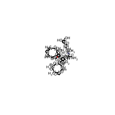 CN(C)/N=N/c1[nH]cnc1C(N)=O.Cc1c2oc3c(C)ccc(C(=O)NC4C(=O)NC(C(C)C)C(=O)N5CCCC5C(=O)N(C)CC(=O)N(C)C(C(C)C)C(=O)OC4C)c3nc-2c(C(=O)NC2C(=O)NC(C(C)C)C(=O)N3CCCC3C(=O)N(C)CC(=O)N(C)C(C(C)C)C(=O)OC2C)c(N)c1=O.Nc1ncn([C@H]2C[C@H](O)[C@@H](CO)O2)c(=O)n1